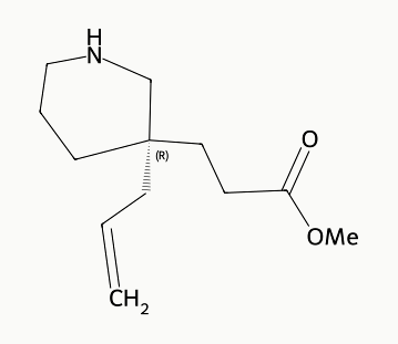 C=CC[C@]1(CCC(=O)OC)CCCNC1